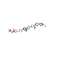 CCC1CCC(c2ccc(C3CC=C(c4ccc(C5CCC(CCOC)CC5)cc4F)CC3)cc2F)CC1